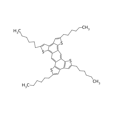 CCCCCCc1cc2c3cc(CCCCCC)sc3c3cc4c(cc3c2s1)c1sc(CCCCCC)cc1c1cc(CCCCCC)sc14